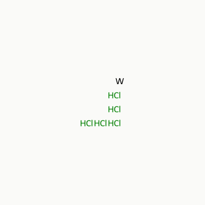 Cl.Cl.Cl.Cl.Cl.[W]